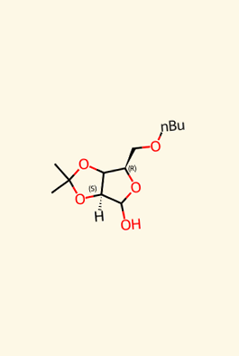 CCCCOC[C@H]1OC(O)[C@H]2OC(C)(C)OC21